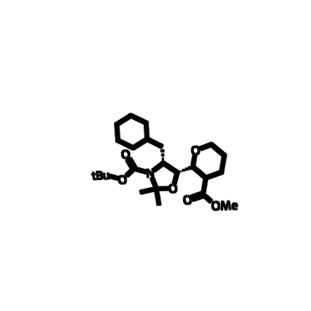 COC(=O)C1CCCOC1[C@@H]1OC(C)(C)N(C(=O)OC(C)(C)C)[C@@H]1CC1CCCCC1